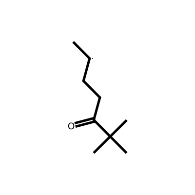 C[CH]CCC(=O)C(C)(C)C